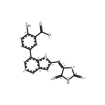 CCC(=O)c1cc(-c2cncc3cc(/C=C4/SC(=S)NC4=O)oc23)ccc1O